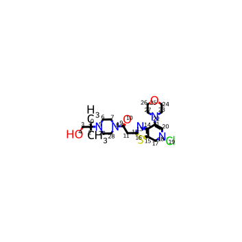 CC(C)(CO)N1CCN(C(=O)Cc2nc3c(s2)CN(Cl)C=C3N2CCOCC2)CC1